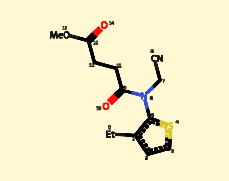 CCc1ccsc1N(CC#N)C(=O)CCC(=O)OC